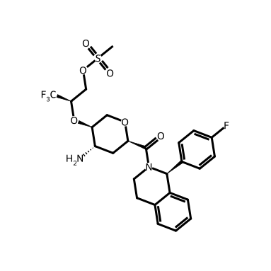 CS(=O)(=O)OC[C@@H](O[C@H]1CO[C@@H](C(=O)N2CCc3ccccc3[C@@H]2c2ccc(F)cc2)C[C@@H]1N)C(F)(F)F